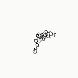 CCOC(=O)OC1c2cccc(OCCN3CCCCC3)c2CCN1S(=O)(=O)c1ccc(Oc2ccc(F)cc2)cc1